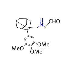 COc1cc(C2C3CC4CC(C3)CC2(CNCC=O)C4)cc(OC)c1OC